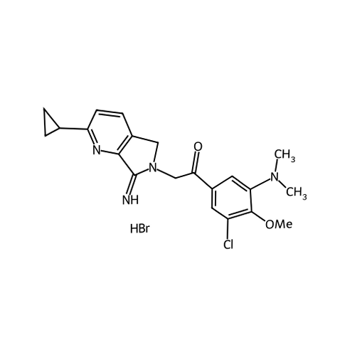 Br.COc1c(Cl)cc(C(=O)CN2Cc3ccc(C4CC4)nc3C2=N)cc1N(C)C